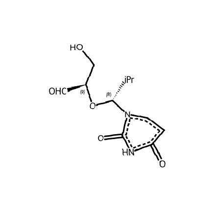 CC(C)[C@@H](O[C@@H](C=O)CO)n1ccc(=O)[nH]c1=O